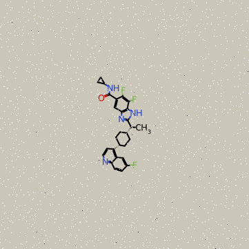 CC(c1nc2cc(C(=O)NC3CC3)c(F)c(F)c2[nH]1)[C@H]1CC[C@@H](c2ccnc3ccc(F)cc32)CC1